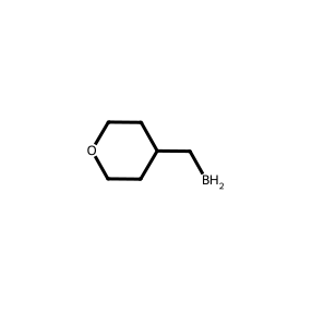 BCC1CCOCC1